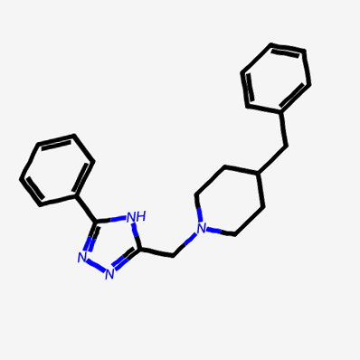 c1ccc(CC2CCN(Cc3nnc(-c4ccccc4)[nH]3)CC2)cc1